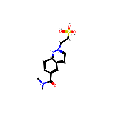 CN(C)C(=O)c1ccc2n[n+](CCS(=O)(=O)[O-])ccc2c1